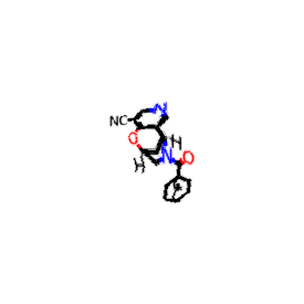 N#Cc1cncc2c1O[C@H]1C[C@@H]2N(C(=O)C23CCC(CC2)CC3)C1